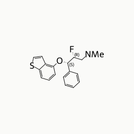 CNC[C@@H](F)[C@@H](Oc1cccc2sccc12)c1ccccc1